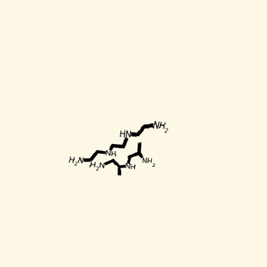 CC(N)CNC(C)CN.NCCNCCNCCN